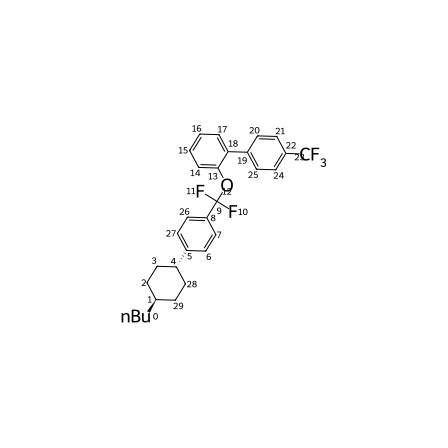 CCCC[C@H]1CC[C@H](c2ccc(C(F)(F)Oc3ccccc3-c3ccc(C(F)(F)F)cc3)cc2)CC1